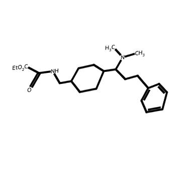 CCOC(=O)C(=O)NCC1CCC(C(CCc2ccccc2)N(C)C)CC1